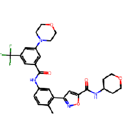 Cc1ccc(NC(=O)c2cc(N3CCOCC3)cc(C(F)(F)F)c2)cc1-c1cc(C(=O)NC2CCOCC2)on1